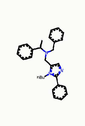 CCCCn1c(CN(Cc2ccccc2)C(C)c2ccccc2)cnc1-c1ccccc1